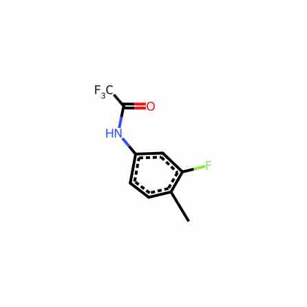 Cc1ccc(NC(=O)C(F)(F)F)cc1F